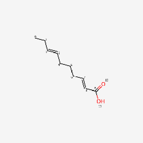 CCC=CCCCC=CC(=O)O